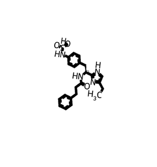 CCc1c[nH]c([C@H](Cc2ccc(N[SH](=O)=O)cc2)NC(=O)CCc2ccccc2)n1